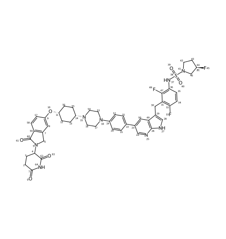 O=C1CCC(N2Cc3cc(O[C@H]4CC[C@@H](N5CCN(c6ccc(-c7cnc8[nH]cc(Cc9c(F)ccc(NS(=O)(=O)N%10CC[C@@H](F)C%10)c9F)c8c7)cc6)CC5)CC4)ccc3C2=O)C(=O)N1